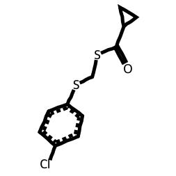 O=C(SCSc1ccc(Cl)cc1)C1CC1